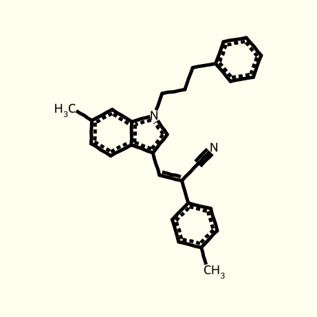 Cc1ccc(/C(C#N)=C/c2cn(CCCc3ccccc3)c3cc(C)ccc23)cc1